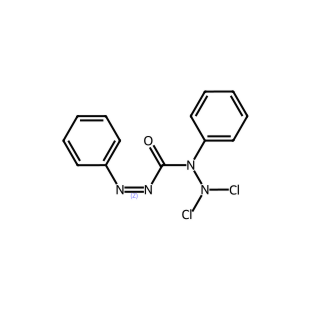 O=C(/N=N\c1ccccc1)N(c1ccccc1)N(Cl)Cl